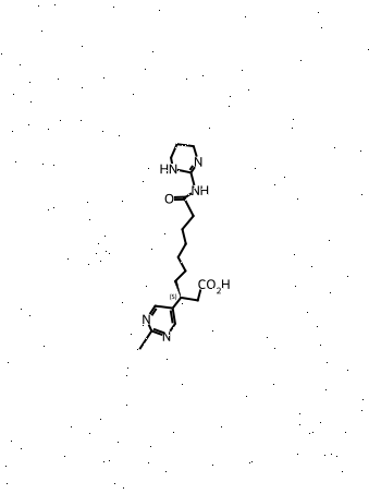 Cc1ncc([C@@H](CCCCCCC(=O)NC2=NCCCN2)CC(=O)O)cn1